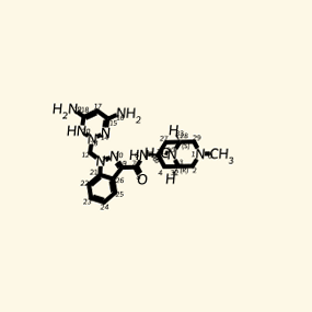 CN1C[C@H]2C[C@@H](NC(=O)c3nn(CN4N=C(N)C=C(N)N4)c4ccccc34)C[C@@H](C1)N2C